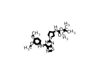 COc1ccc(Nc2nc(N3CCC(NC(=O)OC(C)(C)C)C3)nc3scnc23)cc1OC